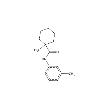 Cc1cccc(NC(=O)C2(C)CCCCC2)c1